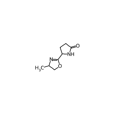 CC1COC(C2CCC(=O)N2)=N1